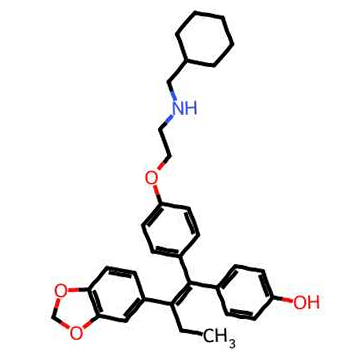 CC/C(=C(\c1ccc(O)cc1)c1ccc(OCCNCC2CCCCC2)cc1)c1ccc2c(c1)OCO2